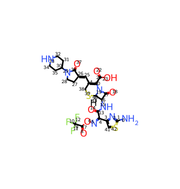 Nc1nc(/C(=N/OC(=O)C(F)(F)F)C(=O)N[C@@H]2C(=O)N3C(C(=O)O)=C(/C=C4\CCN(C5CCNCC5)C4=O)CS[C@H]23)cs1